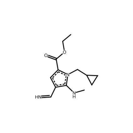 CCOC(=O)c1cc(C=N)c(NC)n1CC1CC1